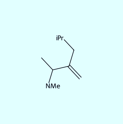 C=C(CC(C)C)C(C)NC